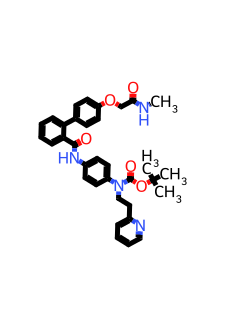 CNC(=O)COc1ccc(-c2ccccc2C(=O)Nc2ccc(N(CCc3ccccn3)C(=O)OC(C)(C)C)cc2)cc1